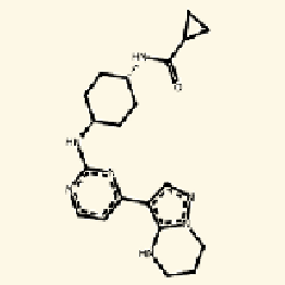 O=C(N[C@H]1CC[C@H](Nc2nccc(-c3cnn4c3NCCC4)n2)CC1)C1CC1